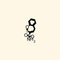 NS(=O)(=O)C1=CCc2ccccc2OS1